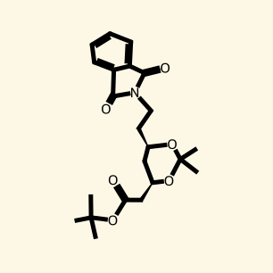 CC(C)(C)OC(=O)C[C@H]1C[C@@H](CCN2C(=O)c3ccccc3C2=O)OC(C)(C)O1